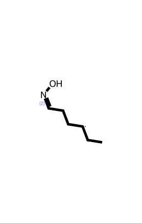 CC[CH]CC/C=N\O